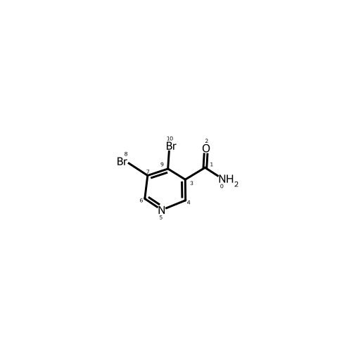 NC(=O)c1cncc(Br)c1Br